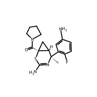 C[C@]1(c2cc(N)ccc2F)N=C(N)S[C@@]2(C(=O)N3CCCC3)C[C@H]21